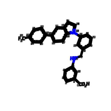 O=C(O)c1cccc(NCc2cccc(-n3ccc4cc(-c5ccc(C(F)(F)F)cc5)ccc43)c2)c1